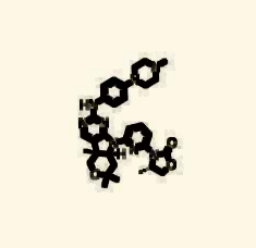 C[C@H]1COC(=O)N1c1cccc(N2c3nc(Nc4ccc(N5CCN(C)CC5)cc4)ncc3[C@@]3(C)COC(C)(C)C[C@@H]23)n1